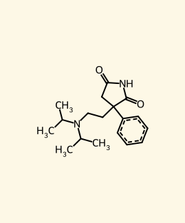 CC(C)N(CCC1(c2ccccc2)CC(=O)NC1=O)C(C)C